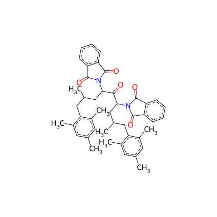 Cc1cc(C)c(CC(C)CC(C(=O)C(CC(C)Cc2c(C)cc(C)cc2C)N2C(=O)c3ccccc3C2=O)N2C(=O)c3ccccc3C2=O)c(C)c1